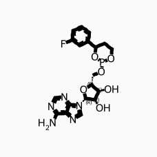 Nc1ncnc2c1ncn2[C@@H]1O[C@H](COP2OCCC(c3cccc(F)c3)O2)[C@@H](O)[C@H]1O